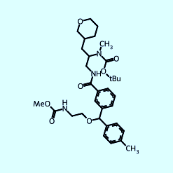 COC(=O)NCCOC(c1ccc(C)cc1)c1cccc(C(=O)NCC(CC2CCCOC2)N(C)C(=O)OC(C)(C)C)c1